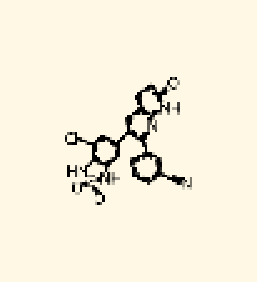 N#Cc1cccc(-c2nc3[nH]c(=O)ccc3cc2-c2cc(Cl)c3c(c2)NS(=O)(=O)N3)c1